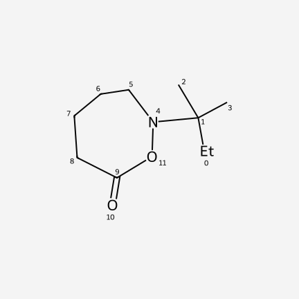 CCC(C)(C)N1CCCCC(=O)O1